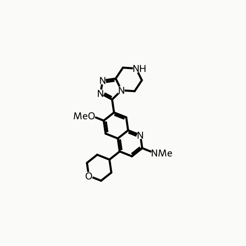 CNc1cc(C2CCOCC2)c2cc(OC)c(-c3nnc4n3CCNC4)cc2n1